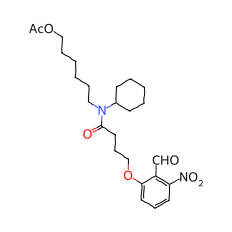 CC(=O)OCCCCCCN(C(=O)CCCOc1cccc([N+](=O)[O-])c1C=O)C1CCCCC1